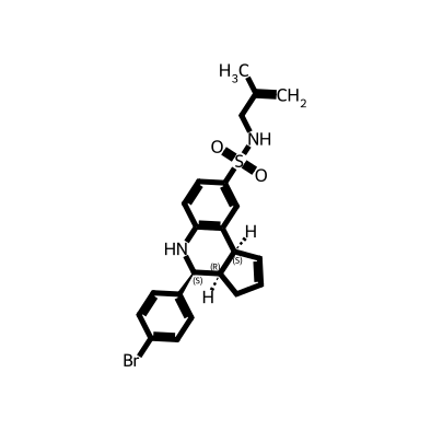 C=C(C)CNS(=O)(=O)c1ccc2c(c1)[C@H]1C=CC[C@H]1[C@@H](c1ccc(Br)cc1)N2